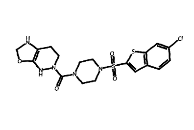 O=C(N1CCN(S(=O)(=O)c2cc3ccc(Cl)cc3s2)CC1)N1CCC2=C(N1)OCN2